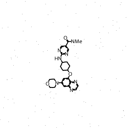 CNC(=O)c1cnc(NC2CCC(Oc3cc(N4CCOCC4)cc4nccnc34)CC2)nc1